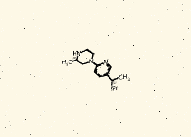 CC(C)[C@H](C)c1ccc(N2CCN[C@H](C)C2)nc1